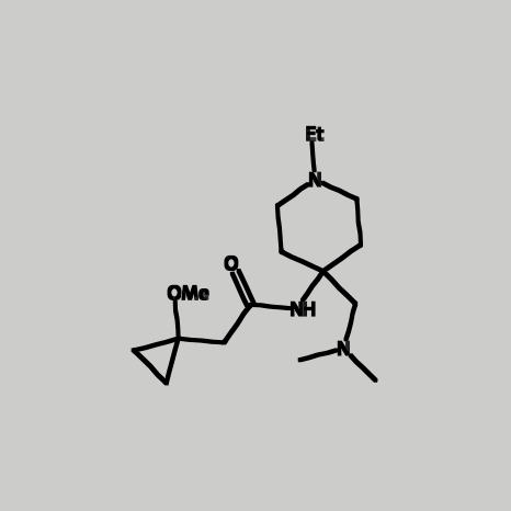 CCN1CCC(CN(C)C)(NC(=O)CC2(OC)CC2)CC1